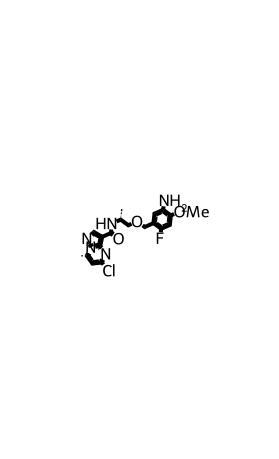 COc1cc(F)c(COC[C@@H](C)NC(=O)c2cnn3[c]cc(Cl)nc23)cc1N